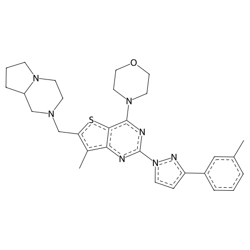 Cc1cccc(-c2ccn(-c3nc(N4CCOCC4)c4sc(CN5CCN6CCCC6C5)c(C)c4n3)n2)c1